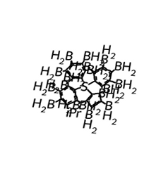 BC1=C(B)C(B)C(S(c2c(B)c(B)c(B)c(B)c2B)(c2c(B)c(B)c(B)c(B)c2B)c2c(B)c(B)c(B)c(C(C)C)c2B)=C1B